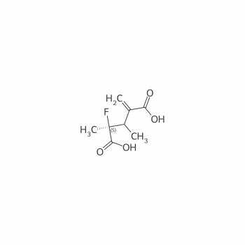 C=C(C(=O)O)C(C)[C@](C)(F)C(=O)O